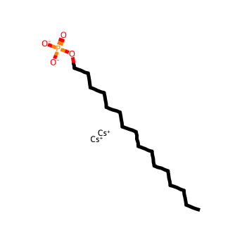 CCCCCCCCCCCCCCCCOP(=O)([O-])[O-].[Cs+].[Cs+]